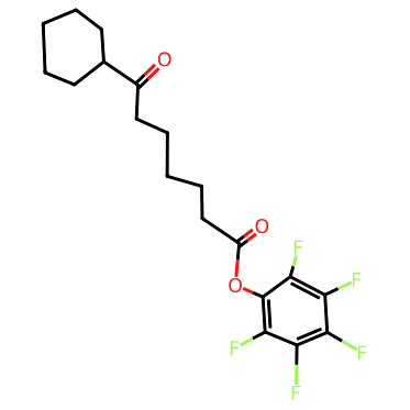 O=C(CCCCCC(=O)C1CCCCC1)Oc1c(F)c(F)c(F)c(F)c1F